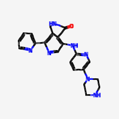 O=C1NCc2c(-c3ccccn3)ncc(Nc3ccc(N4CCNCC4)cn3)c21